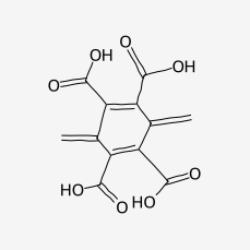 C=c1c(C(=O)O)c(C(=O)O)c(=C)c(C(=O)O)c1C(=O)O